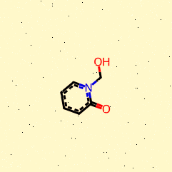 O=c1ccccn1CO